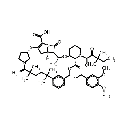 C=C(N1CC[C@H](SC2=C(C(=O)O)N3C(=O)[C@H]([C@@H](C)O)[C@H]3C2)C1)C(C)(C)CCC(C)(C)c1cccc([C@@H](CCc2ccc(OC)c(OC)c2)OC(=O)[C@@H]2CCCCN2C(=O)C(=O)C(C)(C)CC)c1